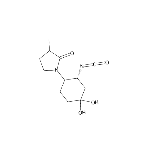 CC1CCN(C2CCC(O)(O)C[C@H]2N=C=O)C1=O